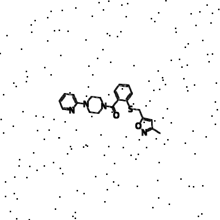 Cc1cc(CSc2ccccc2C(=O)N2CCN(c3ccccn3)CC2)on1